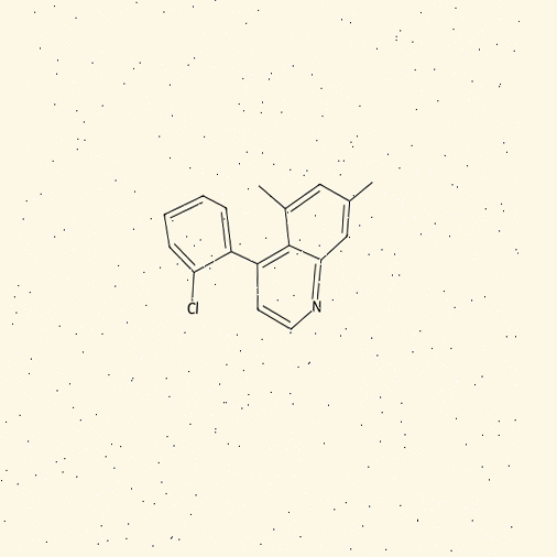 Cc1cc(C)c2c(-c3ccccc3Cl)c[c]nc2c1